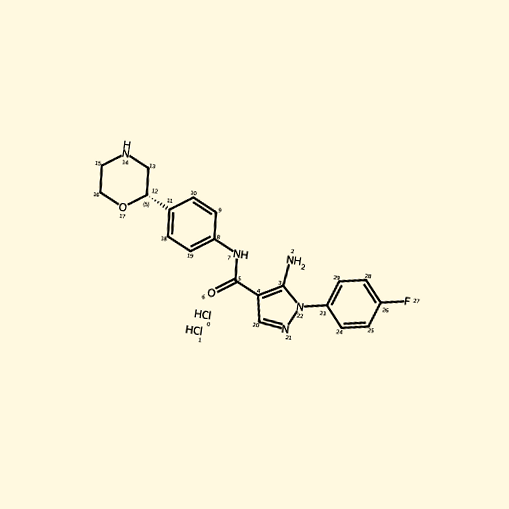 Cl.Cl.Nc1c(C(=O)Nc2ccc([C@H]3CNCCO3)cc2)cnn1-c1ccc(F)cc1